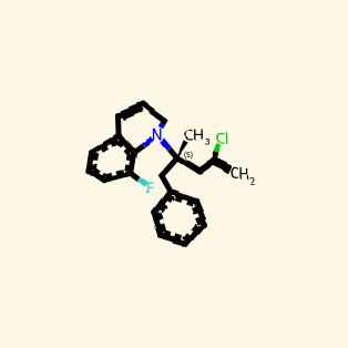 C=C(Cl)C[C@](C)(Cc1ccccc1)N1CC=Cc2cccc(F)c21